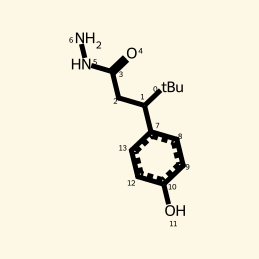 CC(C)(C)C(CC(=O)NN)c1ccc(O)cc1